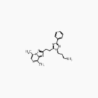 Cc1ncc(C)n2nc(CCc3nc(-c4ccccc4)nn3CCCN)nc12